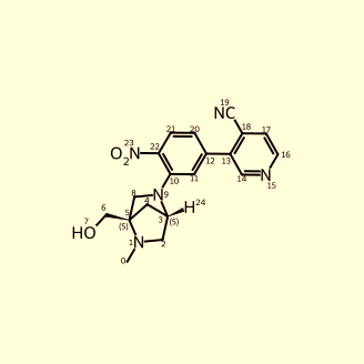 CN1C[C@@H]2C[C@@]1(CO)CN2c1cc(-c2cnccc2C#N)ccc1[N+](=O)[O-]